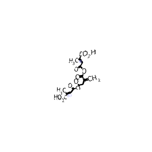 C=C(CC(=O)OC(=O)/C=C(\C)C(=O)O)C(=O)OC(=O)/C=C(\C)C(=O)O